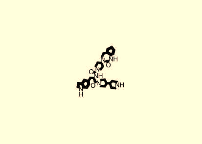 O=C(NC(Cc1ccc2[nH]ccc2c1)C(=O)N1CCC(C2CCNCC2)CC1)N1CCC(N2CCc3ccccc3NC2=O)CC1